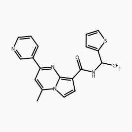 Cc1cc(-c2cccnc2)nc2c(C(=O)NC(c3cccs3)C(F)(F)F)ccn12